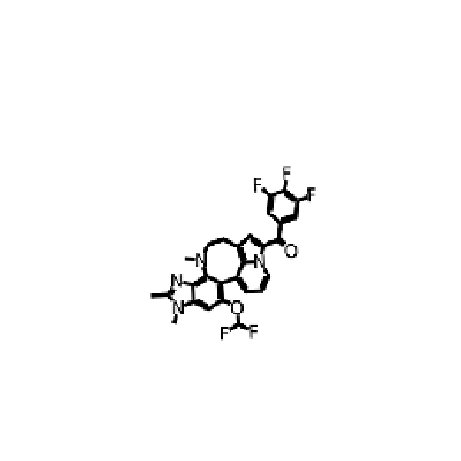 Cc1nc2c3c(c(OC(F)F)cc2n1C)-c1cccn2c(C(=O)c4cc(F)c(F)c(F)c4)cc(c12)CCN3C